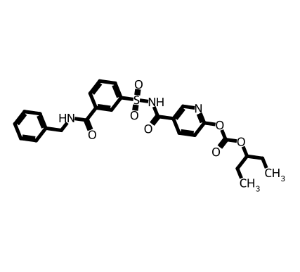 CCC(CC)OC(=O)Oc1ccc(C(=O)NS(=O)(=O)c2cccc(C(=O)NCc3ccccc3)c2)cn1